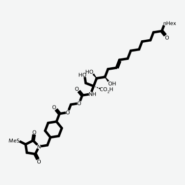 CCCCCCC(=O)CCCCCC/C=C/C[C@@H](O)[C@H](O)[C@](CO)(NC(=O)OCOC(=O)C1CCC(CN2C(=O)CC(SC)C2=O)CC1)C(=O)O